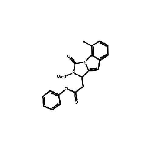 CON1C(=O)n2c(cc3cccc(C)c32)C1CC(=O)Oc1ccccc1